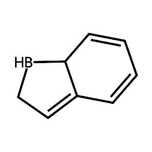 B1CC=C2C=CC=CC12